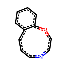 c1ccc2occncccc2c1